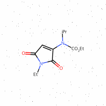 CCOC(=O)N(C1=CC(=O)N(CC)C1=O)C(C)C